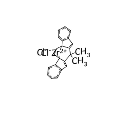 CC1(C)C2=Cc3ccccc3[C]23CC[C]2([Zr+2]3)C1=Cc1ccccc12.[Cl-].[Cl-]